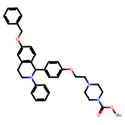 CC(C)(C)OC(=O)N1CCN(CCOc2ccc(C3c4ccc(OCc5ccccc5)cc4CCN3c3ccccc3)cc2)CC1